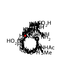 CSCC[C@H](NC(C)=O)C(=O)N[C@H]1CSCc2cccc(c2)CSC[C@@H](C(=O)N[C@@H](CC(=O)O)C(=O)N[C@@H](Cc2c[nH]cn2)C(=O)N[C@@H](C)C(O)N[C@@H](/C=C/CNC(=N)N)C(=O)N[C@@H](CC(=O)O)C(N)=O)NC(O)[C@H](Cc2ccccc2)NC(=O)[C@H](CCC(=O)O)NC(=O)[C@H]([C@@H](C)O)NC(=O)[C@@H]2CCCN2C(=O)[C@@H]2CCCN2C1=O